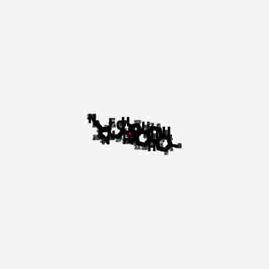 C[C@H]1CC[C@H]2[C@H](CC[C@@H]3[C@@H]2CC[C@]2(C)[C@@H](C(=O)Cn4ncc(C#N)c4F)[C@@H]4CC32[C@@H]4C)C1